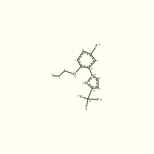 CCCOc1ccc(F)cc1-n1ccc(C(F)(F)F)n1